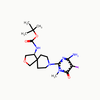 Cn1c(N2CCC3(CC2)COC[C@H]3NC(=O)OC(C)(C)C)nc(N)c(I)c1=O